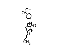 CCCCOc1ccc2c(c1F)C(=O)N(C[C@H]1CC[C@H](C(=O)O)CC1)C2